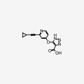 O=C(O)c1nn[nH]c1Oc1ccnc(C#CC2CC2)c1